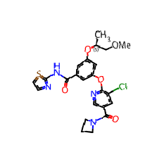 COC[C@H](C)Oc1cc(Oc2ncc(C(=O)N3CCC3)cc2Cl)cc(C(=O)Nc2nccs2)c1